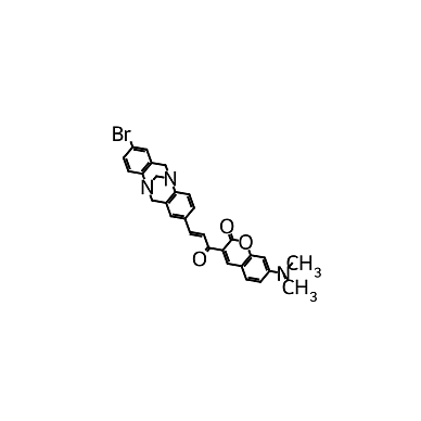 CN(C)c1ccc2cc(C(=O)/C=C/c3ccc4c(c3)CN3CN4Cc4cc(Br)ccc43)c(=O)oc2c1